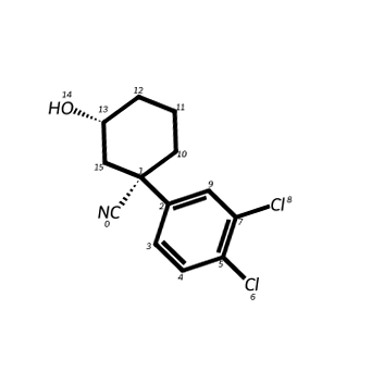 N#C[C@@]1(c2ccc(Cl)c(Cl)c2)CCC[C@@H](O)C1